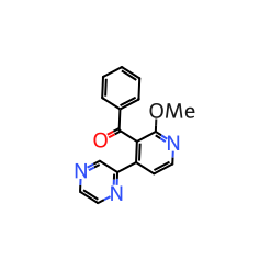 COc1nccc(-c2cnccn2)c1C(=O)c1ccccc1